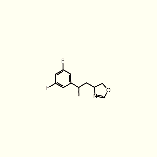 CC(CC1CO[C]=N1)c1cc(F)cc(F)c1